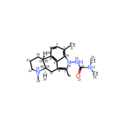 CCc1ccc2c3c(c(C)n(NC(=O)N(CC)CC)c13)C[C@@H]1[C@@H]2CCCN1C